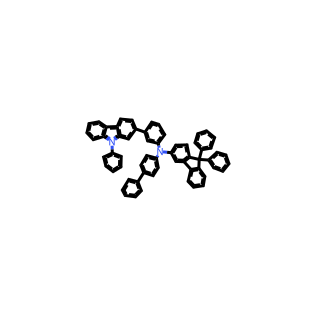 c1ccc(-c2ccc(N(c3cccc(-c4ccc5c6ccccc6n(-c6ccccc6)c5c4)c3)c3ccc4c(c3)-c3ccccc3C4(c3ccccc3)c3ccccc3)cc2)cc1